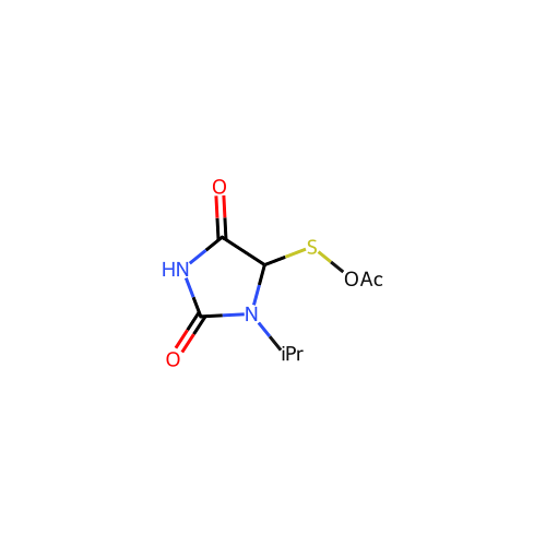 CC(=O)OSC1C(=O)NC(=O)N1C(C)C